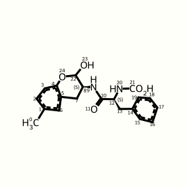 Cc1ccc2c(c1)C[C@H](NC(=O)[C@H](Cc1ccccc1)NC(=O)O)C(O)O2